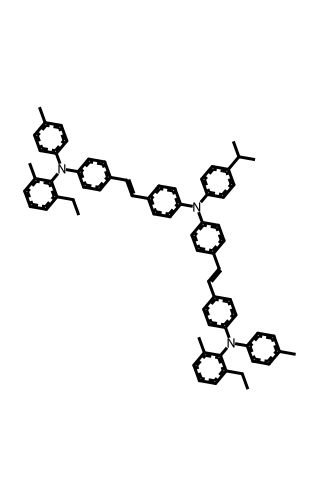 CCc1cccc(C)c1N(c1ccc(C)cc1)c1ccc(/C=C/c2ccc(N(c3ccc(/C=C/c4ccc(N(c5ccc(C)cc5)c5c(C)cccc5CC)cc4)cc3)c3ccc(C(C)C)cc3)cc2)cc1